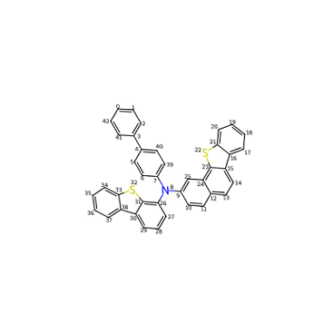 c1ccc(-c2ccc(N(c3ccc4ccc5c6ccccc6sc5c4c3)c3cccc4c3sc3ccccc34)cc2)cc1